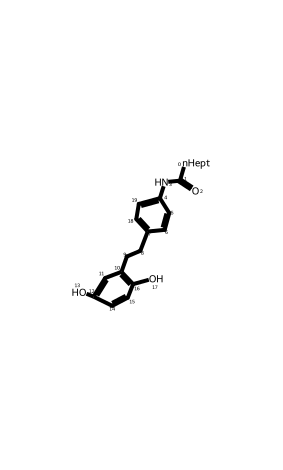 CCCCCCCC(=O)Nc1ccc(CCc2cc(O)ccc2O)cc1